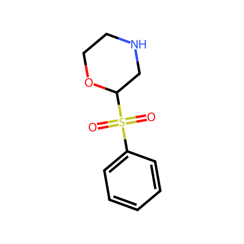 O=S(=O)(c1ccccc1)C1CNCCO1